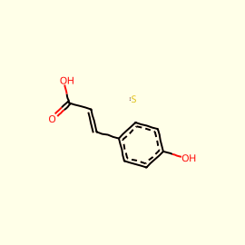 O=C(O)C=Cc1ccc(O)cc1.[S]